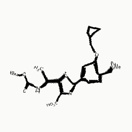 COc1ccc(-c2nc(C(=O)O)c(C(C)NC(=O)OC(C)(C)C)s2)cc1OCC1CC1